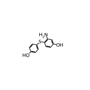 Nc1cc(O)ccc1Sc1ccc(O)cc1